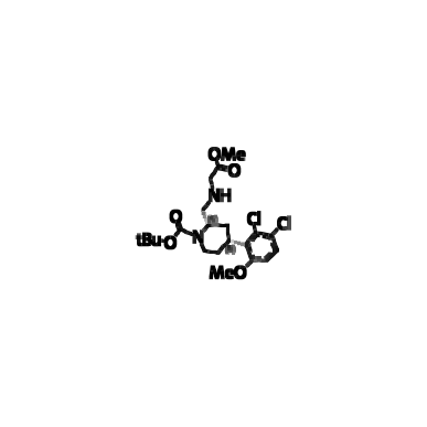 COC(=O)CNC[C@@H]1C[C@H](c2c(OC)ccc(Cl)c2Cl)CCN1C(=O)OC(C)(C)C